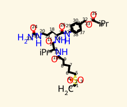 C=CS(=O)(=O)CCCCCC(=O)NC(C(=O)N[C@@H](CCCNC(N)=O)C(=O)Nc1ccc(COC(=O)C(C)C)cc1)C(C)C